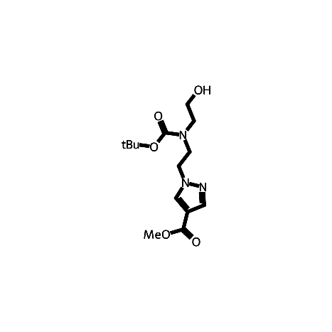 COC(=O)c1cnn(CCN(CCO)C(=O)OC(C)(C)C)c1